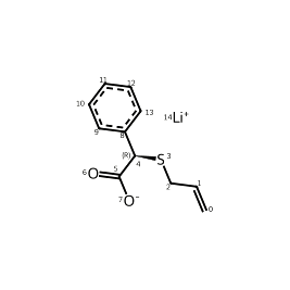 C=CCS[C@@H](C(=O)[O-])c1ccccc1.[Li+]